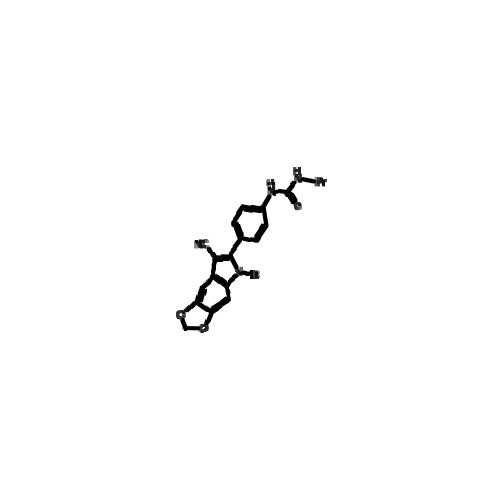 CCn1c(-c2ccc(NC(=O)NC(C)C)cc2)c(C#N)c2cc3c(cc21)OCO3